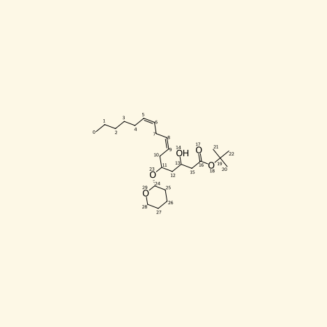 CCCCC/C=C\C/C=C\CC(CC(O)CC(=O)OC(C)(C)C)O[C@@H]1CCCCO1